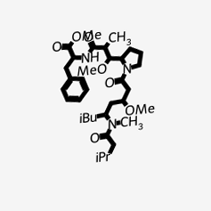 CCC(C)C(CC(CC(=O)N1CCCC1C(OC)C(C)C(=O)NC(Cc1ccccc1)C(=O)OC)OC)N(C)C(=O)CC(C)C